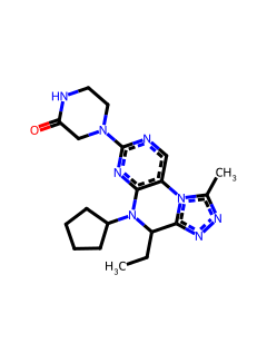 CCC1c2nnc(C)n2-c2cnc(N3CCNC(=O)C3)nc2N1C1CCCC1